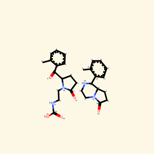 Cc1ccccc1C(=O)C1CCC(=O)N1CCNC(=O)O.Cc1ccccc1C1NCCN2C(=O)CCC12